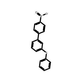 O=[N+]([O-])c1ccc(-c2[c]ccc(Sc3ccccc3)c2)cc1